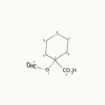 O=COC1(C(=O)O)CCCCC1